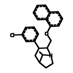 CC1C2CCN1C(COc1cccc3ccccc13)C(c1cccc(Cl)c1)C2